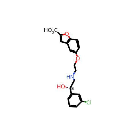 O=C(O)c1cc2cc(OCCNC[C@@H](O)c3cccc(Cl)c3)ccc2o1